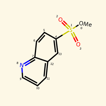 COS(=O)(=O)c1ccc2ncccc2c1